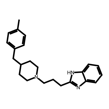 Cc1ccc(CC2CCN(CCCc3nc4ccccc4[nH]3)CC2)cc1